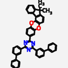 CC1(C)c2ccccc2-c2c1ccc1c2Oc2ccc(-c3nc(-c4cccc(-c5ccccc5)c4)nc(-c4cccc(-c5ccccc5)c4)n3)cc2O1